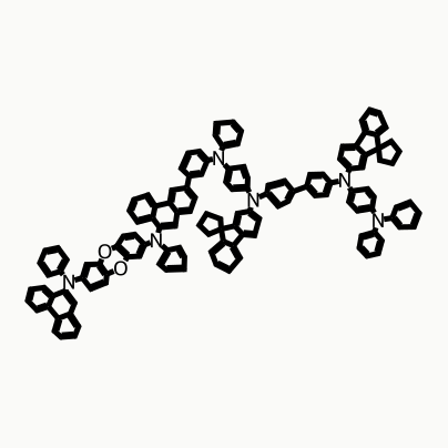 c1ccc(N(c2ccccc2)c2ccc(N(c3ccc(-c4ccc(N(c5ccc(N(c6ccccc6)c6cccc(-c7ccc8cc(N(c9ccccc9)c9ccc%10c(c9)Oc9ccc(N(c%11ccccc%11)c%11cc%12ccccc%12c%12ccccc%11%12)cc9O%10)c9ccccc9c8c7)c6)cc5)c5ccc6c(c5)C5(CCCC5)c5ccccc5-6)cc4)cc3)c3ccc4c(c3)C3(CCCC3)c3ccccc3-4)cc2)cc1